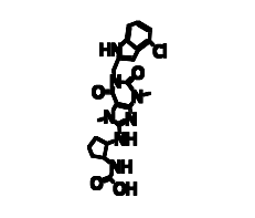 Cn1c(NC2CCCC2NC(=O)O)nc2c1c(=O)n(Cc1cc3c(Cl)cccc3[nH]1)c(=O)n2C